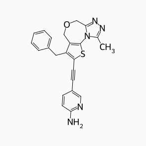 Cc1nnc2n1-c1sc(C#Cc3ccc(N)nc3)c(Cc3ccccc3)c1COC2